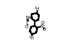 N=C=O.[2H]c1ccc(-c2ccc([2H])cc2[N+](=O)[O-])cc1